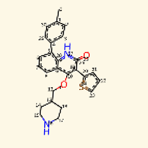 Cc1ccc(-c2cccc3c(OCC4CCNCC4)c(-c4cccs4)c(=O)[nH]c23)cc1